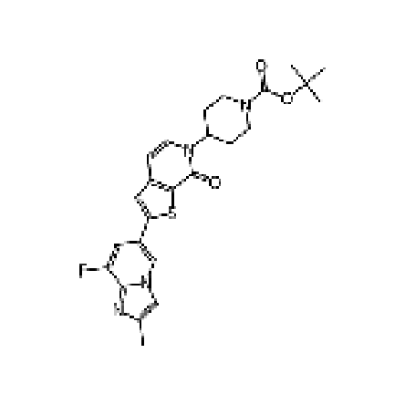 Cc1cn2cc(-c3cc4ccn(C5CCN(C(=O)OC(C)(C)C)CC5)c(=O)c4s3)cc(F)c2n1